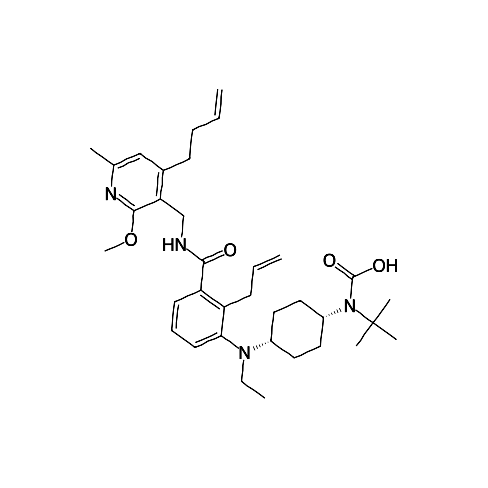 C=CCCc1cc(C)nc(OC)c1CNC(=O)c1cccc(N(CC)[C@H]2CC[C@@H](N(C(=O)O)C(C)(C)C)CC2)c1CC=C